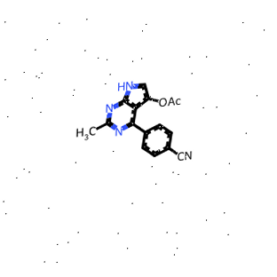 CC(=O)Oc1c[nH]c2nc(C)nc(-c3ccc(C#N)cc3)c12